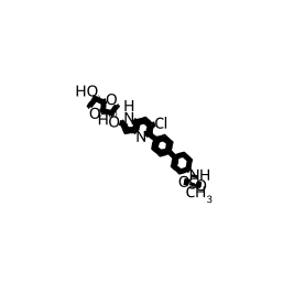 CS(=O)(=O)NC1CC=C(c2ccc(-c3nc4cc(O[C@@H]5COC6[C@H](O)CO[C@@H]65)[nH]c4cc3Cl)cc2)CC1